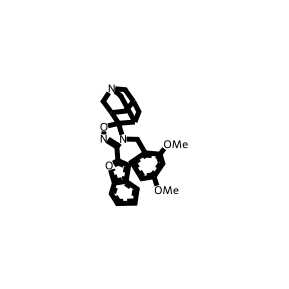 COc1ccc(CN2C(c3cc4ccccc4o3)=NOC23C2CC4CC3CN(C4)C2)c(OC)c1